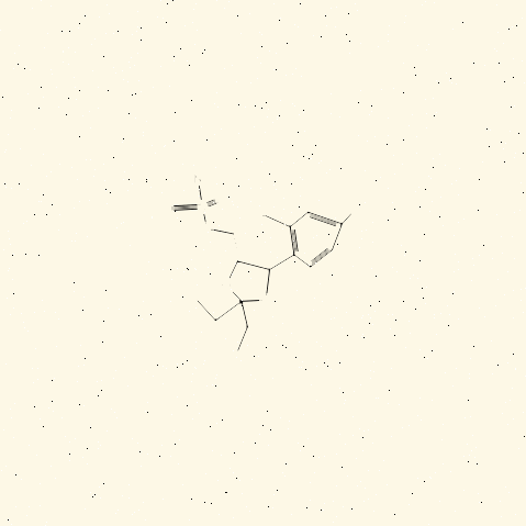 CCC1(CC)OC(c2ccc(Cl)cc2Cl)[C@@H](COS(N)(=O)=O)O1